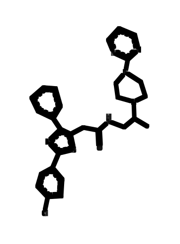 CC(CNC(=O)Cc1sc(-c2ccc(Cl)cc2)nc1-c1ccccc1)N1CCN(c2ncccn2)CC1